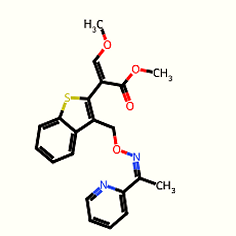 COC=C(C(=O)OC)c1sc2ccccc2c1CON=C(C)c1ccccn1